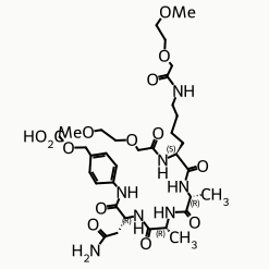 COCCOCC(=O)NCCCC[C@H](NC(=O)COCCOC)C(=O)N[C@H](C)C(=O)N[C@H](C)C(=O)N[C@H](CC(N)=O)C(=O)Nc1ccc(COC(=O)O)cc1